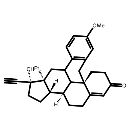 C#C[C@]1(O)CC[C@H]2[C@@H]3CCC4=CC(=O)CC[C@@]45Cc4cc(OC)ccc4C(C[C@@]21CC)C35